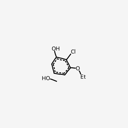 CCOc1cccc(O)c1Cl.CO